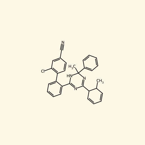 CC1C=CC=CC1C1=NC(C)(c2ccccc2)NC(c2ccccc2-c2ccc(C#N)cc2Cl)=N1